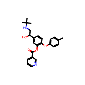 Cc1ccc(Oc2ccc(C(O)CNC(C)(C)C)cc2OC(=O)c2cccnc2)cc1